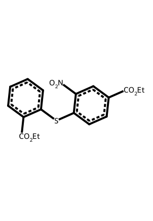 CCOC(=O)c1ccc(Sc2ccccc2C(=O)OCC)c([N+](=O)[O-])c1